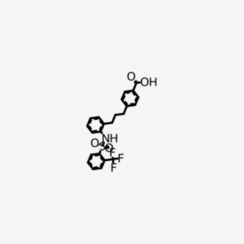 O=C(O)c1ccc(CCCc2ccccc2NS(=O)(=O)c2ccccc2C(F)(F)F)cc1